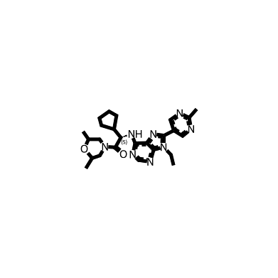 CCn1c(-c2cnc(C)nc2)nc2c(N[C@H](C(=O)N3CC(C)OC(C)C3)C3CCCC3)ncnc21